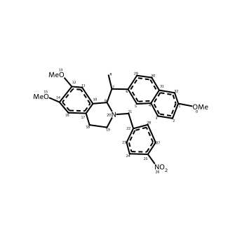 COc1ccc2cc(C(C)C3c4cc(OC)c(OC)cc4CCN3Cc3ccc([N+](=O)[O-])cc3)ccc2c1